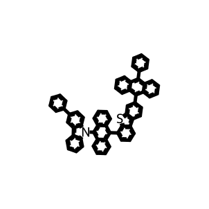 c1ccc(-c2ccc3c(c2)c2ccccc2n3-c2c3ccccc3c(-c3cccc4c3sc3cc(-c5c6ccccc6c(-c6ccccc6)c6ccccc56)ccc34)c3ccccc23)cc1